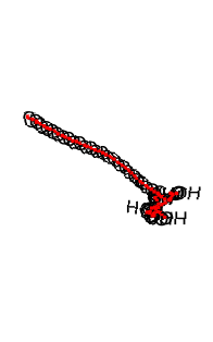 COCCOCCOCCOCCOCCOCCOCCOCCOCCOCCOCCOCCOCCOCCOCCOCCOCCOCCOCCOCCOCCOCCOCCOCCNC(=O)CCCCC[N+]1=C(C=CC=CC=C2N(CCCSOOO)c3ccc4c(S(=O)(=O)O)cc(S(=O)(=O)O)cc4c3C2(C)CCCCCC(=O)O)C(C)(C)c2cc(SOOO)ccc21